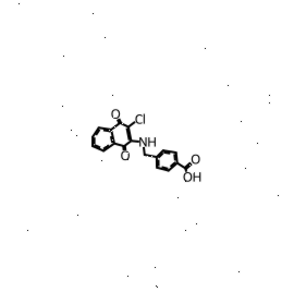 O=C(O)c1ccc(CNC2=C(Cl)C(=O)c3ccccc3C2=O)cc1